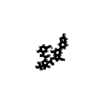 [2H]C([2H])([2H])[C@@]12C[C@@H](C(=O)Nc3nc(C(F)(F)F)ccc3C)N(C(=O)Cn3cc(C(C)=O)c4cc(-c5cnc6cc(C)nn6c5)cc(C)c43)[C@@H]1C2